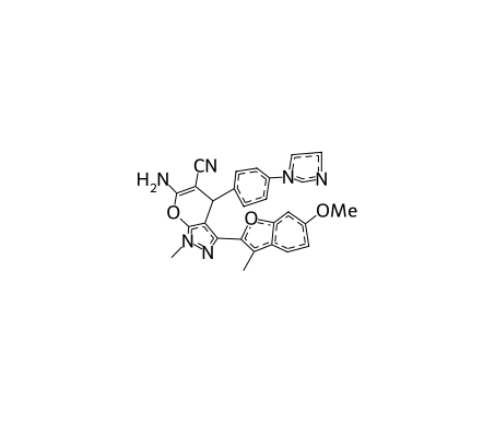 COc1ccc2c(C)c(-c3nn(C)c4c3C(c3ccc(-n5ccnc5)cc3)C(C#N)=C(N)O4)oc2c1